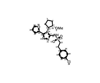 CO[C@H]1CCC[C@@H]1n1c(NS(=O)(=O)CCc2ccc(Cl)cc2)nnc1-c1ccco1